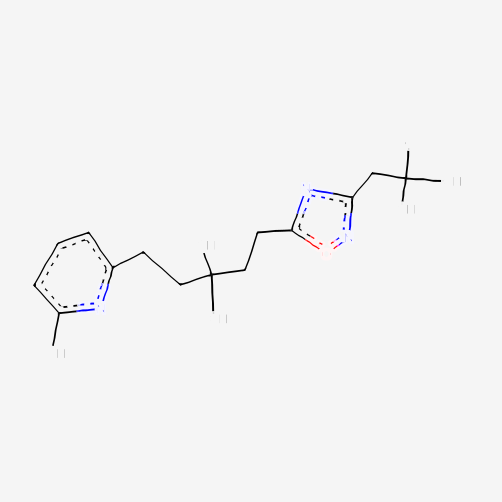 Cc1cccc(CCC(C)(C)CCc2nc(CC(C)(C)C)no2)n1